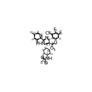 COC(=O)C1=C([C@H]2CC[C@H](NS(C)(=O)=O)CC2)NC(c2ncc(C)cc2F)=N[C@@H]1c1ccc(F)c(F)c1Cl